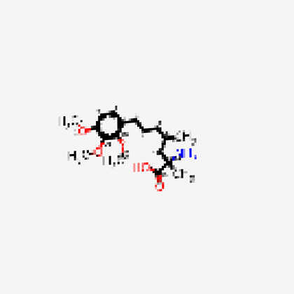 COc1ccc(CCCC(C)CC(C)(N)C(=O)O)c(OC)c1OC